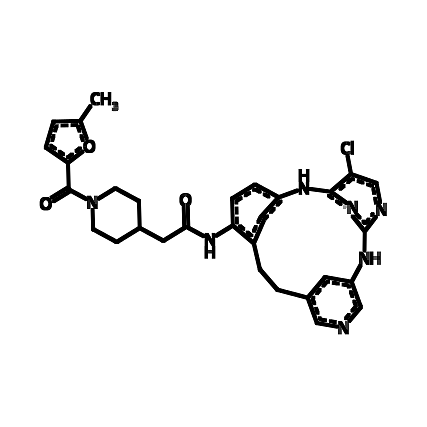 Cc1ccc(C(=O)N2CCC(CC(=O)Nc3ccc4cc3CCc3cncc(c3)Nc3ncc(Cl)c(n3)N4)CC2)o1